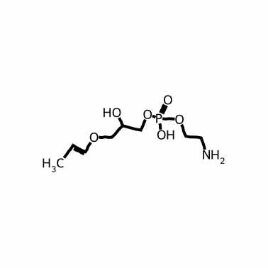 C/C=C/OCC(O)COP(=O)(O)OCCN